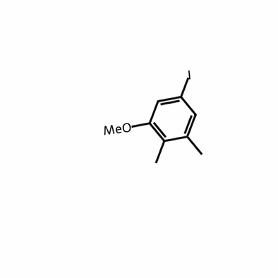 COc1cc(I)cc(C)c1C